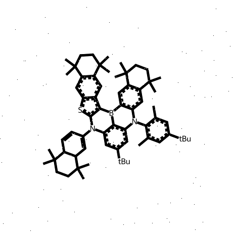 Cc1cc(C(C)(C)C)cc(C)c1N1c2cc3c(cc2B2c4c(cc(C(C)(C)C)cc41)N(C1=CC4C(C=C1)C(C)(C)CCC4(C)C)c1sc4cc5c(cc4c12)C(C)(C)CCC5(C)C)C(C)(C)CCC3(C)C